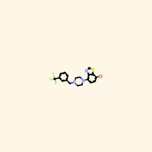 [O]c1ccc(N2CCN(Cc3cccc(C(F)(F)F)c3)CC2)c2ncsc12